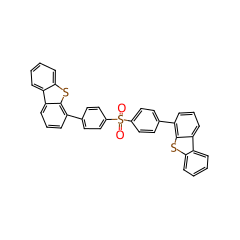 O=S(=O)(c1ccc(-c2cccc3c2sc2ccccc23)cc1)c1ccc(-c2cccc3c2sc2ccccc23)cc1